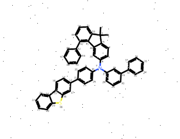 CC1(C)c2ccc(N(c3ccc(-c4ccc5c(c4)sc4ccccc45)cc3)c3cccc(-c4ccccc4)c3)cc2-c2c(-c3ccccc3)cccc21